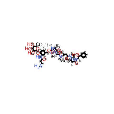 CC[C@H](C)[C@@H]([C@@H](CC(=O)N1CCC[C@H]1[C@H](OC)[C@@H](C)C(=O)N[C@H](C)[C@@H](O)c1ccccc1)OC)N(C)C(=O)[C@@H](NC(=O)[C@H](C(C)C)N(C)C(=O)OCc1ccc(O[C@@H]2OC(C(=O)O)[C@@H](O)[C@H](O)C2O)c(NC(=O)CCN)c1)C(C)C